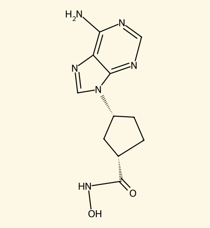 Nc1ncnc2c1ncn2[C@@H]1CC[C@H](C(=O)NO)C1